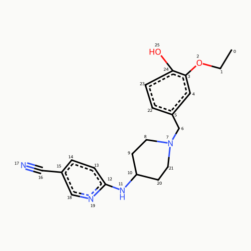 CCOc1cc(CN2CCC(Nc3ccc(C#N)cn3)CC2)ccc1O